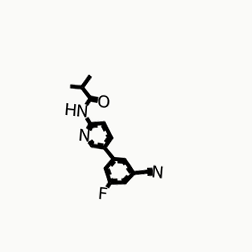 CC(C)C(=O)Nc1ccc(-c2cc(F)cc(C#N)c2)cn1